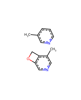 Cc1cccnc1.Cc1cncc2c1CO2